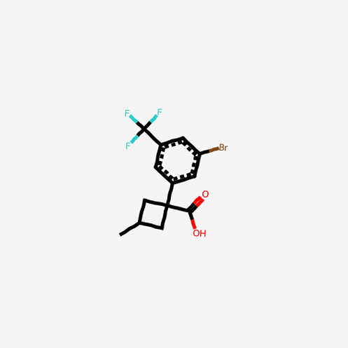 CC1CC(C(=O)O)(c2cc(Br)cc(C(F)(F)F)c2)C1